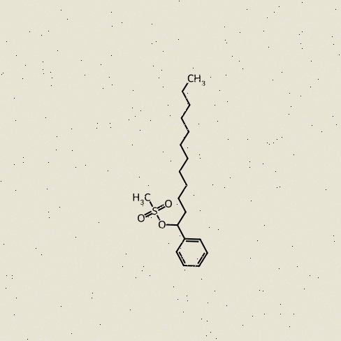 CCCCCCCCCCCC(OS(C)(=O)=O)c1ccccc1